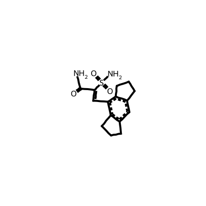 NC(=O)C(=Cc1c2c(cc3c1CCC3)CCC2)S(N)(=O)=O